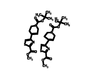 COC(=O)c1nc(C2=CCN(C(=O)OC(C)(C)C)CC2)cs1.COC(=O)c1nc(C2=CCN(C(=O)OC(C)(C)C)CC2)cs1